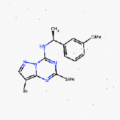 COc1cccc([C@H](C)Nc2nc(SC)nc3c(C(C)C)cnn23)c1